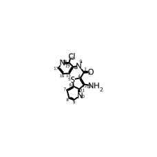 CN(C(=O)c1sc2cccnc2c1N)c1cccnc1Cl